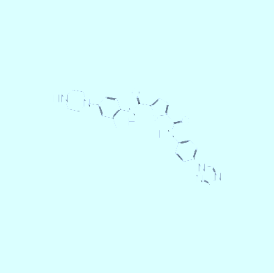 Cc1cc(N2CCNCC2)ccc1NC(=O)c1ccc(C(=O)Nc2ccc(-n3cncn3)cc2)s1